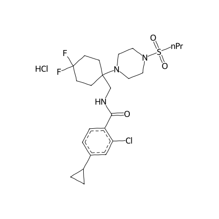 CCCS(=O)(=O)N1CCN(C2(CNC(=O)c3ccc(C4CC4)cc3Cl)CCC(F)(F)CC2)CC1.Cl